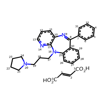 O=C(O)C=CC(=O)O.c1ccc(C2=Nc3cccnc3N(CCCN3CCCC3)c3ccccc32)cc1